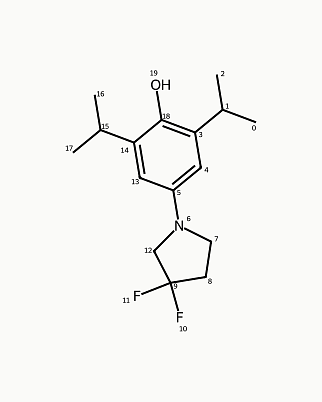 CC(C)c1cc(N2CCC(F)(F)C2)cc(C(C)C)c1O